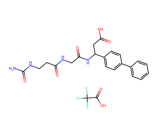 NC(=O)NCCC(=O)NCC(=O)NC(CC(=O)O)c1ccc(-c2ccccc2)cc1.O=C(O)C(F)(F)F